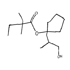 CCC(C)(C)C(=O)OC1(C(C)CO)CCCC1